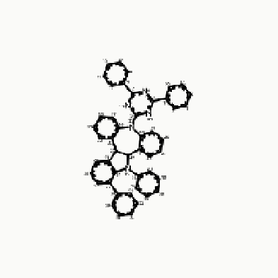 c1ccc(-c2nc(-c3ccccc3)nc(N3c4ccccc4C4c5cccc(-c6ccccc6)c5N(c5ccccc5)C4c4ccccc43)n2)cc1